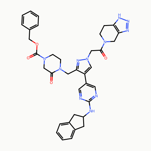 O=C1CN(C(=O)OCc2ccccc2)CCN1Cc1nn(CC(=O)N2CCc3[nH]nnc3C2)cc1-c1cnc(NC2Cc3ccccc3C2)nc1